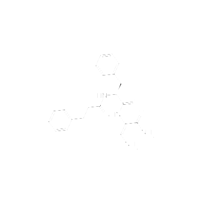 NC=C(NC(=O)[C@H](Cc1ccccc1)NC(=O)CCc1ccccc1)C(N)=O